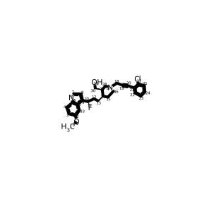 COc1ccc2nccc([C@@H](F)CC[C@@H]3CCN(CC#Cc4ccccc4Cl)C[C@@H]3CO)c2c1